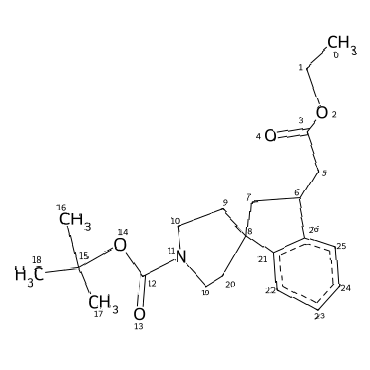 CCOC(=O)CC1CC2(CCN(C(=O)OC(C)(C)C)CC2)c2ccccc21